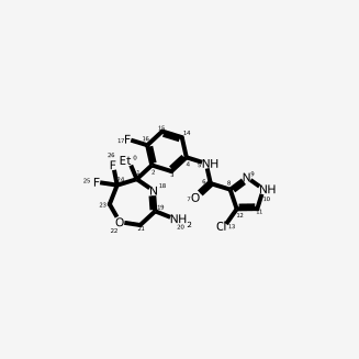 CCC1(c2cc(NC(=O)c3n[nH]cc3Cl)ccc2F)N=C(N)COCC1(F)F